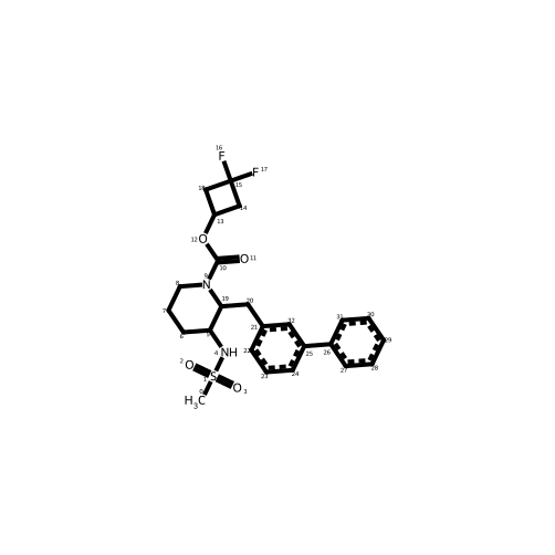 CS(=O)(=O)NC1CCCN(C(=O)OC2CC(F)(F)C2)C1Cc1cccc(-c2ccccc2)c1